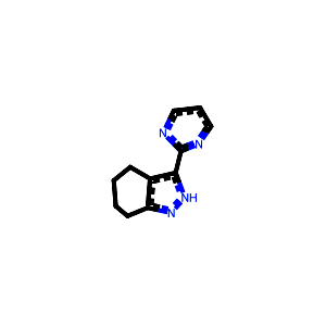 c1cnc(-c2[nH]nc3c2CCCC3)nc1